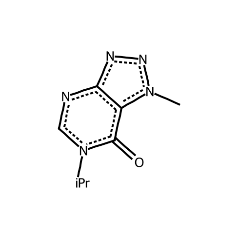 CC(C)n1cnc2nnn(C)c2c1=O